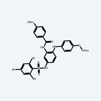 CCCCCCCCCCc1ccc(C(=O)Nc2cc(NS(=O)(=O)c3c(C(C)C)cc(C(C)C)cc3C(C)C)ccc2Nc2ccc(OCCCCCC)cc2)cc1